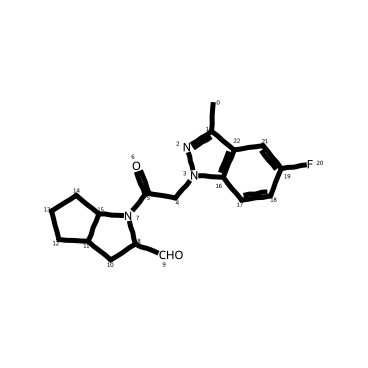 Cc1nn(CC(=O)N2C(C=O)CC3CCCC32)c2ccc(F)cc12